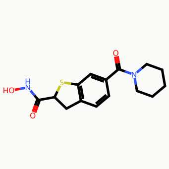 O=C(NO)C1Cc2ccc(C(=O)N3CCCCC3)cc2S1